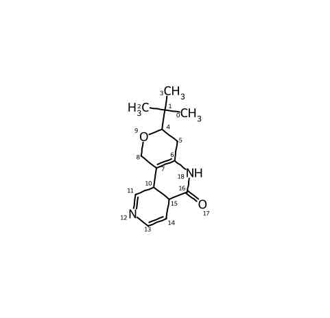 CC(C)(C)C1CC2=C(CO1)C1C=NC=CC1C(=O)N2